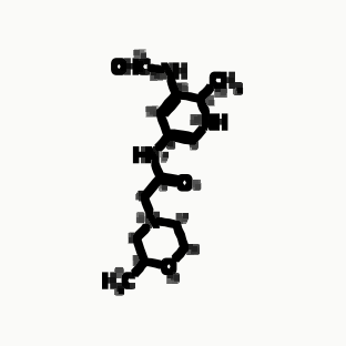 CC1CN(CC(=O)NC2=CNC(C)C(NC=O)=C2)CCO1